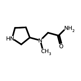 CN(CC(N)=O)C1CCNC1